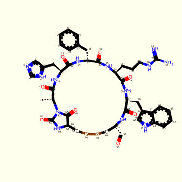 C[C@@H]1C(=O)N[C@@H](Cc2cnc[nH]2)C(=O)N[C@H](Cc2ccccc2)C(=O)N[C@@H](CCCNC(=N)N)C(=O)N[C@@H](Cc2c[nH]c3ccccc23)C(=O)N[C@H](C=O)CSSC[C@@H]2NC(=O)N1C2=O